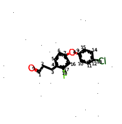 O=CCCc1ccc(Oc2ccc(Cl)cc2)cc1F